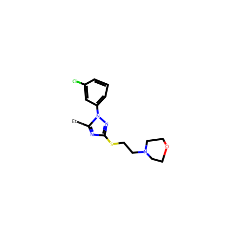 CCc1nc(SCCN2CCOCC2)nn1-c1cccc(Cl)c1